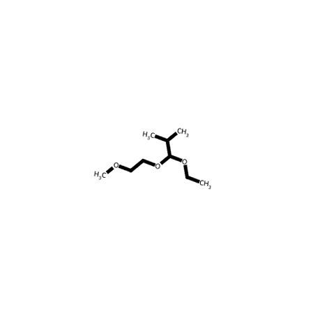 CCOC(OCCOC)C(C)C